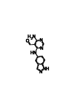 Nc1ncnc(Nc2ccc3[nH]ncc3c2)c1C=O